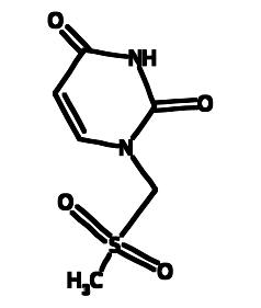 CS(=O)(=O)Cn1ccc(=O)[nH]c1=O